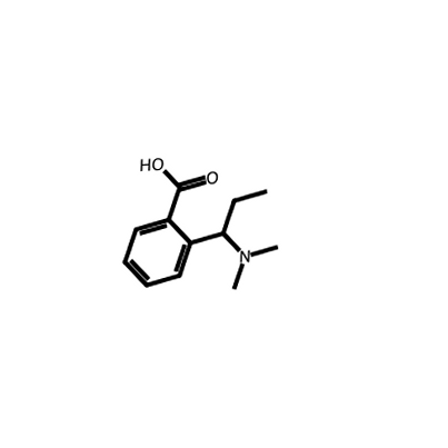 CCC(c1ccccc1C(=O)O)N(C)C